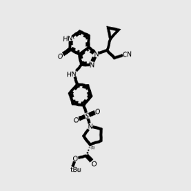 CC(C)(C)OC(=O)[C@H]1CCN(S(=O)(=O)c2ccc(Nc3nn(C(CC#N)C4CC4)c4cc[nH]c(=O)c34)cc2)C1